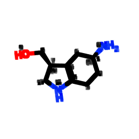 N[C@H]1CCC2=C(C1)[C@H](CO)CN2